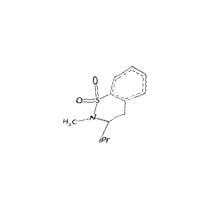 CC(C)C1Cc2ccccc2S(=O)(=O)N1C